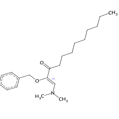 CCCCCCCCCC(=O)/C(=C/N(C)C)OCc1ccccc1